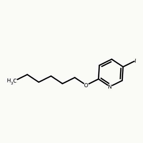 CCCCCCOc1ccc(I)cn1